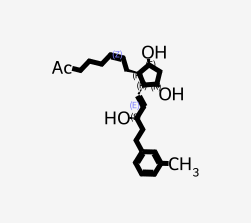 CC(=O)CCC/C=C\C[C@@H]1[C@@H](/C=C/[C@@H](O)CCc2cccc(C)c2)[C@H](O)C[C@@H]1O